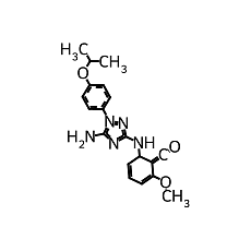 COC1=CC=CC(Nc2nc(N)n(-c3ccc(OC(C)C)cc3)n2)C1=C=O